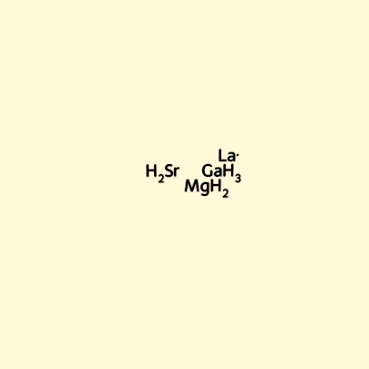 [GaH3].[La].[MgH2].[SrH2]